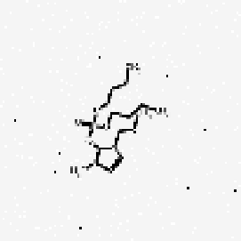 CCCCOP(=O)(OCCCC)OC1N(C)C=CN1CCC